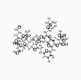 C=C1CC(CCC23C[C@@H](OC)C(O2)[C@H]2CC(O3)C(O[Si](CC)(CC)CC)C(CCC=O)O2)OC1CCC1CC(C)C(=C)C(CC2OC3CC(O[Si](CC)(CC)CC)C(CCO[Si](CC)(CC)CC)OC3[C@H](C)C2OC(O)CP(=O)(OC)OC)O1